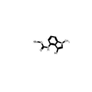 CC(=O)c1cn(C)c2cccc(NC(=O)OC(C)(C)C)c12